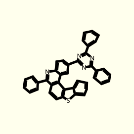 c1ccc(-c2nc(-c3ccccc3)nc(-c3ccc4nc(-c5ccccc5)c5ccc6sc7ccccc7c6c5c4c3)n2)cc1